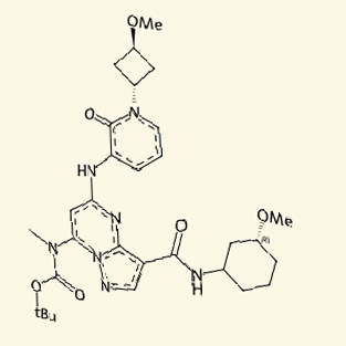 CO[C@@H]1CCCC(NC(=O)c2cnn3c(N(C)C(=O)OC(C)(C)C)cc(Nc4cccn([C@H]5C[C@H](OC)C5)c4=O)nc23)C1